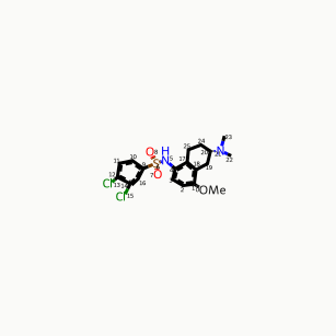 COc1ccc(NS(=O)(=O)c2ccc(Cl)c(Cl)c2)c2c1C[C@@H](N(C)C)CC2